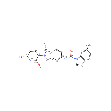 N#Cc1ccc2c(c1)N(C(=O)Nc1ccc3c(c1)CN(C1CCC(=O)NC1=O)C3=O)CC2